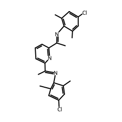 CC(=Nc1c(C)cc(Cl)cc1C)c1cccc(C(C)=Nc2c(C)cc(Cl)cc2C)n1